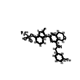 Cc1cc2c(OS(=O)(=O)C(F)(F)F)cccc2n1-c1nc2c(c(NCc3cccc(F)c3)n1)COCC2